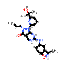 C=CCn1c(=O)c2cnc(Nc3ccc4onc(C)c4c3)nc2n1-c1cccc(C(C)(C)O)n1